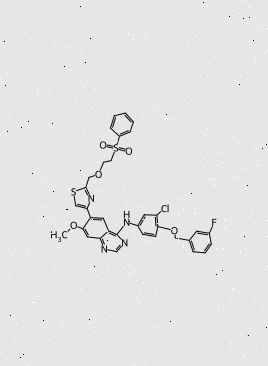 COc1cc2ncnc(Nc3ccc(OCc4cccc(F)c4)c(Cl)c3)c2cc1-c1csc(COCCS(=O)(=O)c2ccccc2)n1